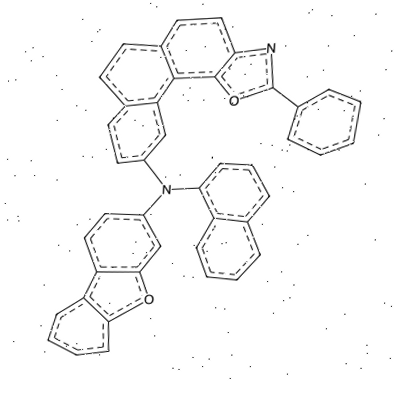 c1ccc(-c2nc3ccc4ccc5ccc(N(c6ccc7c(c6)oc6ccccc67)c6cccc7ccccc67)cc5c4c3o2)cc1